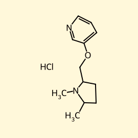 CC1CCC(COc2cccnc2)N1C.Cl